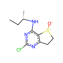 CC[C@H](C)Nc1nc(Cl)nc2c1[S+]([O-])CC2